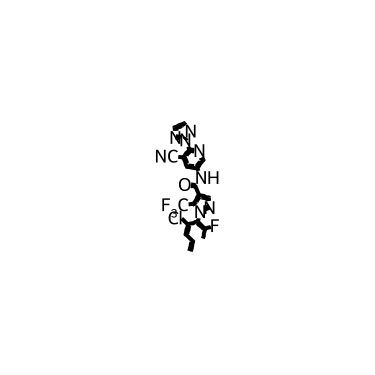 C=C/C=C(Cl)\C(=C(/C)F)n1ncc(C(=O)Nc2cnc(-n3nccn3)c(C#N)c2)c1C(F)(F)F